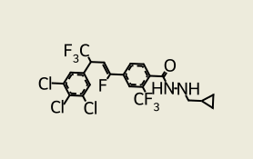 O=C(NNCC1CC1)c1ccc(C(F)=CC(c2cc(Cl)c(Cl)c(Cl)c2)C(F)(F)F)cc1C(F)(F)F